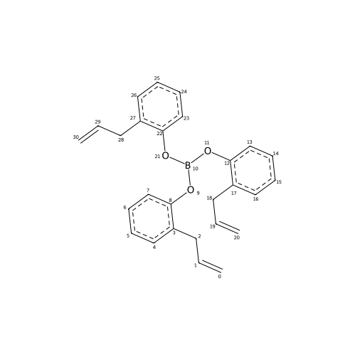 C=CCc1ccccc1OB(Oc1ccccc1CC=C)Oc1ccccc1CC=C